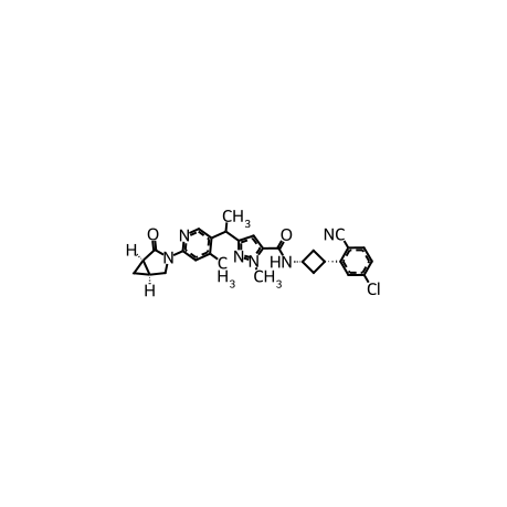 Cc1cc(N2C[C@H]3C[C@H]3C2=O)ncc1C(C)c1cc(C(=O)N[C@H]2C[C@@H](c3cc(Cl)ccc3C#N)C2)n(C)n1